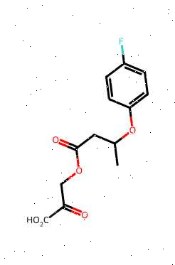 CC(CC(=O)OCC(=O)C(=O)O)Oc1ccc(F)cc1